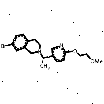 COCCOc1ccc([C@@H](C)N2CCc3ccc(Br)cc3C2)cn1